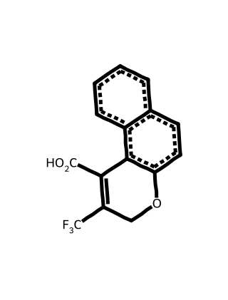 O=C(O)C1=C(C(F)(F)F)COc2ccc3ccccc3c21